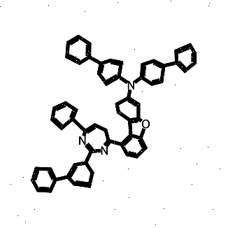 C1=CC(c2ccccc2)=CC(C2=NC(c3ccccc3)=CCC(c3cccc4oc5c(c34)CCC(N(c3ccc(-c4ccccc4)cc3)c3ccc(-c4ccccc4)cc3)=C5)=N2)C1